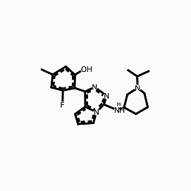 Cc1cc(O)c(-c2nnc(N[C@@H]3CCCN(C(C)C)C3)n3cccc23)c(F)c1